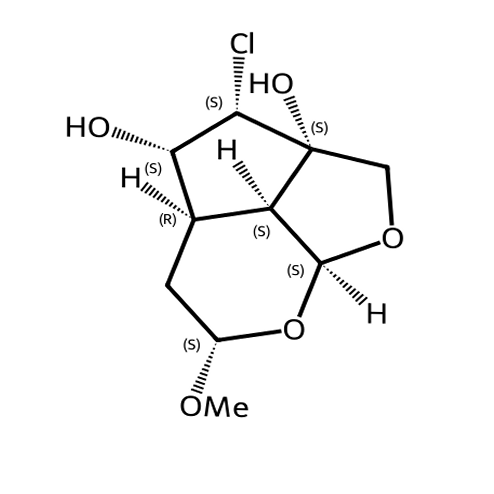 CO[C@@H]1C[C@H]2[C@H](O)[C@H](Cl)[C@@]3(O)CO[C@@H](O1)[C@@H]23